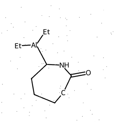 C[CH2][Al]([CH2]C)[CH]1CCCCC(=O)N1